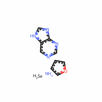 N.[SeH2].c1ccoc1.c1ncc2[nH]cnc2n1